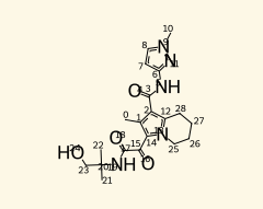 Cc1c(C(=O)Nc2ccn(C)n2)c2n(c1C(=O)C(=O)NC(C)(C)CO)CCCC2